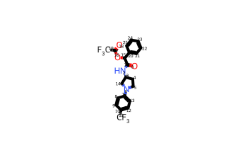 O=C(N[C@@H]1CCN(c2ccc(C(F)(F)F)cc2)C1)C(OC(=O)C(F)(F)F)c1ccccc1